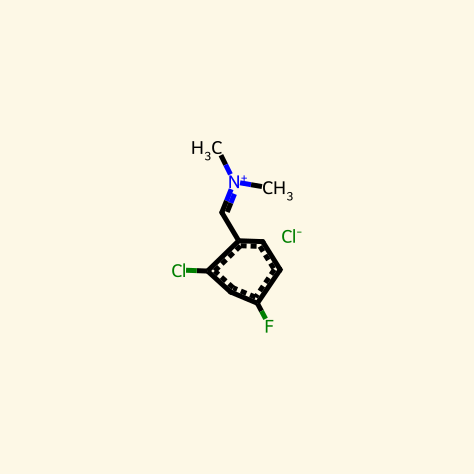 C[N+](C)=Cc1ccc(F)cc1Cl.[Cl-]